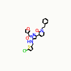 O=C(c1ccoc1)n1nc(-c2cccn(CCc3ccccc3)c2=O)cc1NCc1ccc(Cl)s1